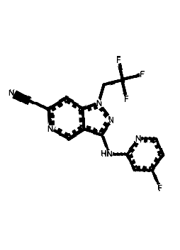 N#Cc1cc2c(cn1)c(Nc1cc(F)ccn1)nn2CC(F)(F)F